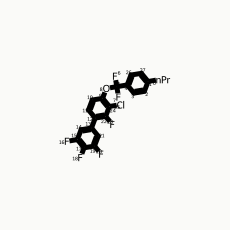 CCCc1ccc(C(F)(F)Oc2ccc(-c3cc(F)c(F)c(F)c3)c(F)c2Cl)cc1